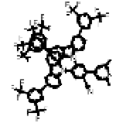 Cc1cc(-c2cc(-n3c4ccc(-c5cc(C(F)(F)F)cc(C(F)(F)F)c5)cc4c4cc(-c5cc(C(F)(F)F)cc(C(F)(F)F)c5)ccc43)c(-n3c4ccc(-c5cc(C(F)(F)F)cc(C(F)(F)F)c5)cc4c4cc(-c5cc(C(F)(F)F)cc(C(F)(F)F)c5)ccc43)cc2C#N)cc(C)n1